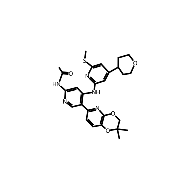 CSc1cc(C2CCOCC2)cc(Nc2cc(NC(C)=O)ncc2-c2ccc3c(n2)OCC(C)(C)O3)n1